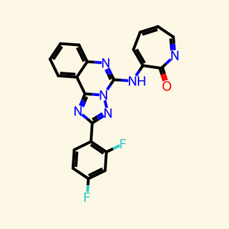 O=c1nccccc1Nc1nc2ccccc2c2nc(-c3ccc(F)cc3F)nn12